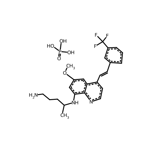 COc1cc(NC(C)CCCN)c2nccc(C=Cc3cccc(C(F)(F)F)c3)c2c1.O=P(O)(O)O